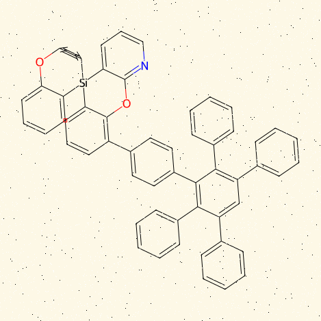 c1ccc(-c2cc(-c3ccccc3)c(-c3ccccc3)c(-c3ccc(-c4cccc5c4Oc4ncccc4[Si]54c5ccccc5Oc5ccccc54)cc3)c2-c2ccccc2)cc1